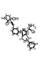 CN1CCC(O)(C#Cc2cccc(-n3nc(C(N)=O)c4c3CCN(c3ncccn3)C4)c2)C1=O